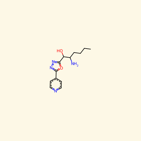 CCCCC(N)C(O)c1nnc(-c2ccncc2)o1